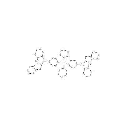 c1ccc([Si](c2ccccc2)(c2ccc(-n3c4ccccc4n4c5ccccc5cc34)cc2)c2ccc(-n3c4ccccc4n4c5ccccc5cc34)cc2)cc1